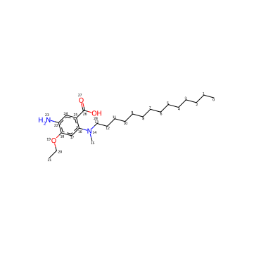 CCCCCCCCCCCCCCN(C)c1cc(OCC)c(N)cc1C(=O)O